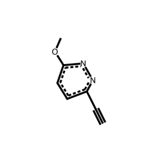 C#Cc1ccc(OC)nn1